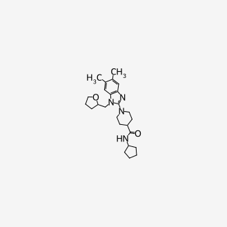 Cc1cc2nc(N3CCC(C(=O)NC4CCCC4)CC3)n(CC3CCCO3)c2cc1C